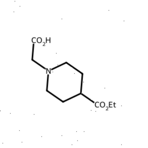 CCOC(=O)C1CCN(CC(=O)O)CC1